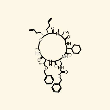 C=CCC[C@H]1OC[C@@H](C)NC(=O)[C@H]([C@H](C)OCc2ccccc2)NC(=O)[C@H](CNC(=O)OCc2ccccc2)NC(=O)[C@H](C2CCCCC2)NC(=O)[C@H](CCC)N(C)C(=O)[C@@H]1CCC=C